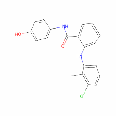 Cc1c(Cl)cccc1Nc1ccccc1C(=O)Nc1ccc(O)cc1